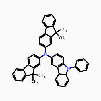 CC1(C)c2ccccc2-c2ccc(N(c3ccc4c(c3)C3C=CC=CC3N4c3ccccc3)c3ccc4c(c3)C(C)(C)c3ccccc3-4)cc21